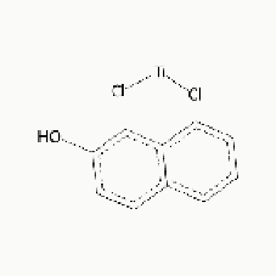 Oc1ccc2ccccc2c1.[Cl][Ti][Cl]